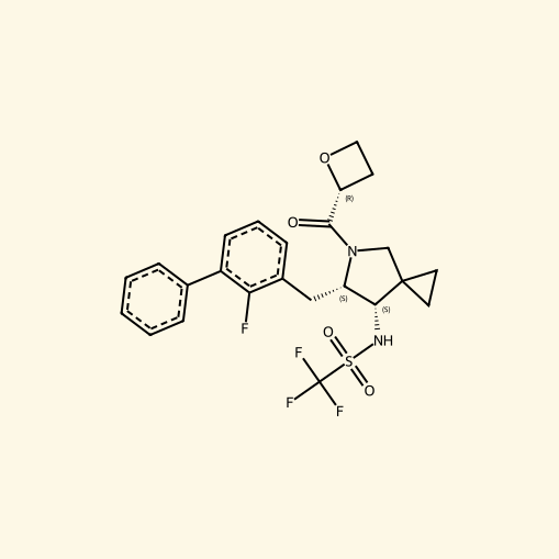 O=C([C@H]1CCO1)N1CC2(CC2)[C@H](NS(=O)(=O)C(F)(F)F)[C@@H]1Cc1cccc(-c2ccccc2)c1F